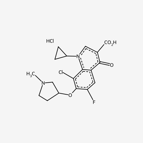 CN1CCC(Oc2c(F)cc3c(=O)c(C(=O)O)cn(C4CC4)c3c2Cl)C1.Cl